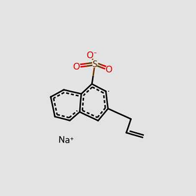 C=CCc1[c]c(S(=O)(=O)[O-])c2ccccc2c1.[Na+]